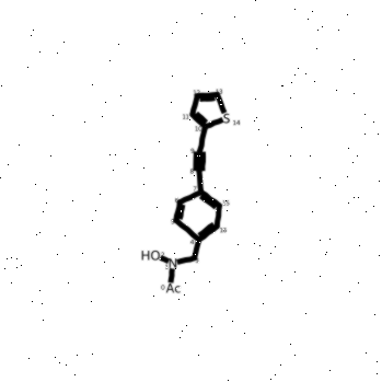 CC(=O)N(O)Cc1ccc(C#Cc2cccs2)cc1